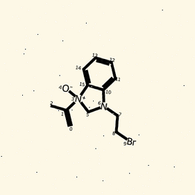 C=C(C)[N+]1([O-])CN(CCBr)c2ccccc21